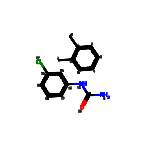 Cc1ccccc1C.NC(=O)Nc1cccc(Cl)c1